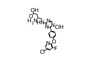 Cl.NC(CNc1ncnc(-c2ccc(Oc3ncc(Cl)cc3F)cc2)n1)CC(=O)O